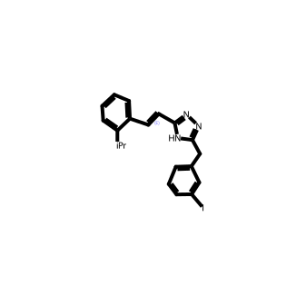 CC(C)c1ccccc1/C=C/c1nnc(Cc2cccc(I)c2)[nH]1